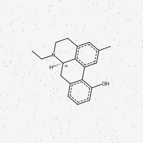 CCN1CCc2cc(C)cc3c2[C@H]1Cc1cccc(O)c1-3